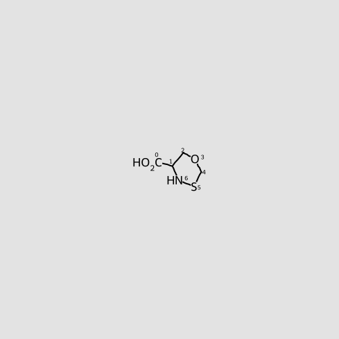 O=C(O)C1COCSN1